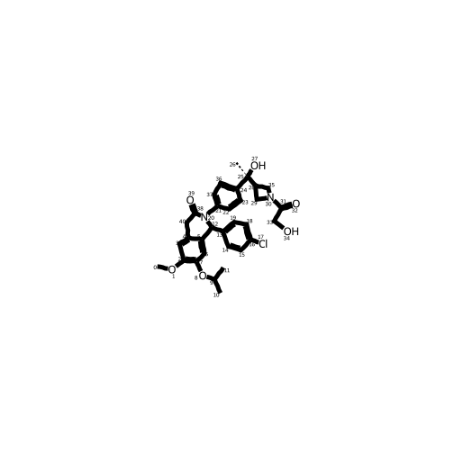 COc1cc2c(cc1OC(C)C)C(c1ccc(Cl)cc1)N(c1ccc([C@@](C)(O)C3CN(C(=O)CO)C3)cc1)C(=O)C2